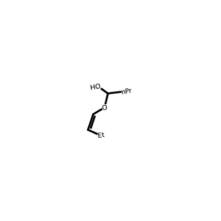 CC/C=C\OC(O)CCC